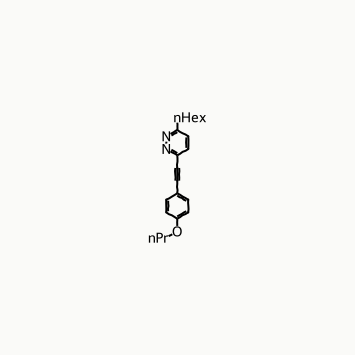 CCCCCCc1ccc(C#Cc2ccc(OCCC)cc2)nn1